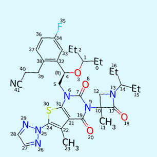 CCC(CC)O[C@@H](Cn1c(=O)n(C2(C)CN(C(CC)CC)C2=O)c(=O)c2c(C)c(-n3nccn3)sc21)c1cc(F)ccc1CCC#N